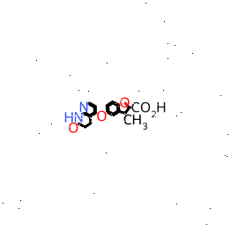 CC1c2cc(Oc3ccnc4c3CCC(=O)N4)ccc2OC1C(=O)O